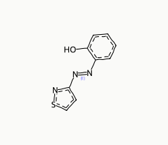 Oc1ccccc1/N=N/c1ccsn1